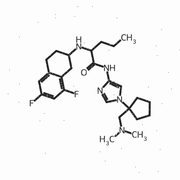 CCCC(NC1CCc2cc(F)cc(F)c2C1)C(=O)Nc1cn(C2(CN(C)C)CCCC2)cn1